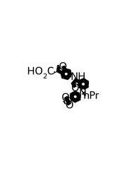 CCCN(c1ccc(S(C)(=O)=O)cc1)c1cccc2c1OC[C@H]2Nc1ccc2c(c1)OC[C@H]2CC(=O)O